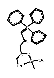 CC(C)(C)[Si](C)(C)O[C@@H](CC#N)CC(=O)C=P(c1ccccc1)(c1ccccc1)c1ccccc1